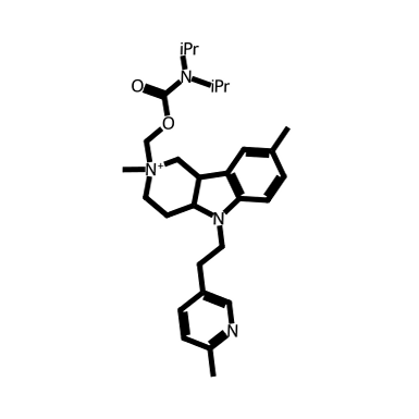 Cc1ccc2c(c1)C1C[N+](C)(COC(=O)N(C(C)C)C(C)C)CCC1N2CCc1ccc(C)nc1